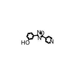 Oc1cccc(-c2noc(-c3ccncc3)n2)c1